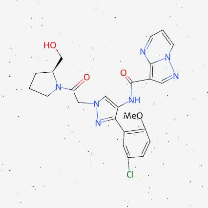 COc1ccc(Cl)cc1-c1nn(CC(=O)N2CCC[C@H]2CO)cc1NC(=O)c1cnn2cccnc12